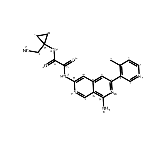 Cc1ccncc1-c1cc2cc(NC(=O)C(=O)NC3(CC#N)CC3)ncc2c(N)n1